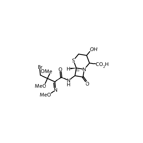 CON=C(C(=O)NC1C(=O)N2C(C(=O)O)C(O)CS[C@@H]12)C(CBr)(OC)OC